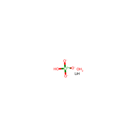 O.[LiH].[O-][Cl+3]([O-])([O-])O